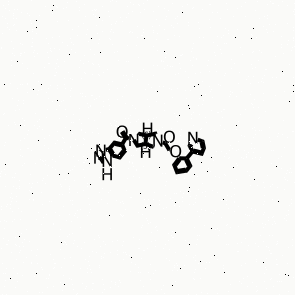 O=C(COc1ccccc1-c1cccnc1)N1C[C@@H]2CN(C(=O)c3ccc4[nH]nnc4c3)C[C@H]2C1